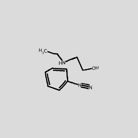 CCNCCO.N#[N+]c1ccccc1